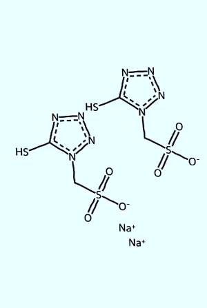 O=S(=O)([O-])Cn1nnnc1S.O=S(=O)([O-])Cn1nnnc1S.[Na+].[Na+]